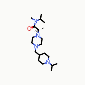 CC(C)N1CCC(CN2CCN([C@@H](C)C(=O)N(C)C(C)C)CC2)CC1